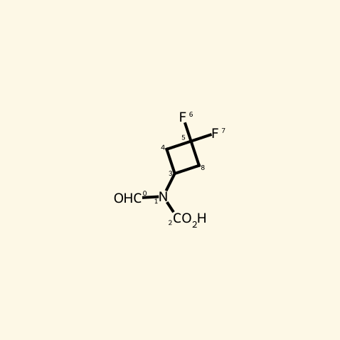 O=CN(C(=O)O)C1CC(F)(F)C1